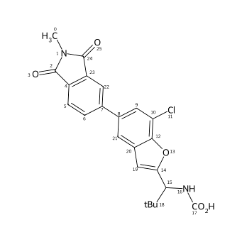 CN1C(=O)c2ccc(-c3cc(Cl)c4oc(C(NC(=O)O)C(C)(C)C)cc4c3)cc2C1=O